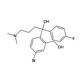 CN(C)CCCC(O)(c1ccc(F)cc1)c1ccc(Br)cc1CO